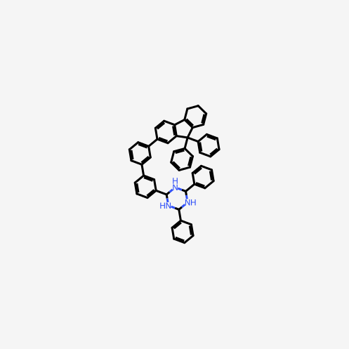 C1=CC2=C(CC1)c1ccc(-c3cccc(-c4cccc(C5NC(c6ccccc6)NC(c6ccccc6)N5)c4)c3)cc1C2(c1ccccc1)c1ccccc1